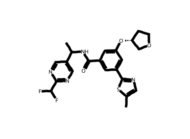 Cc1cnc(-c2cc(O[C@@H]3CCOC3)cc(C(=O)NC(C)c3cnc(C(F)F)nc3)c2)s1